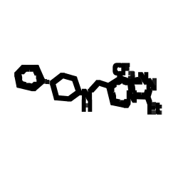 CCc1nnc2c(C(F)(F)F)c(CN[C@H]3CC[C@@H](c4ccccc4)CC3)ccn12